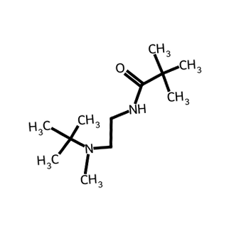 CN(CCNC(=O)C(C)(C)C)C(C)(C)C